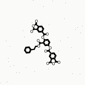 O=C(Oc1ccc(OC(=O)c2ccc3c(c2)C(=O)OC3=O)c(C(=O)OCCc2ccccc2)c1)c1ccc2c(c1)C(=O)OC2=O